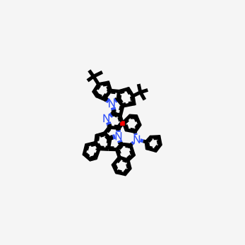 CC(C)(C)c1ccc2c(c1)c1cc(C(C)(C)C)cc3c4cc5c(nc4n2c13)c1cc2ccccc2c2c3c4ccccc4cc(N(c4ccccc4)c4ccccc4)c3n5c12